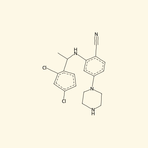 CC(Nc1cc(N2CCNCC2)ccc1C#N)c1ccc(Cl)cc1Cl